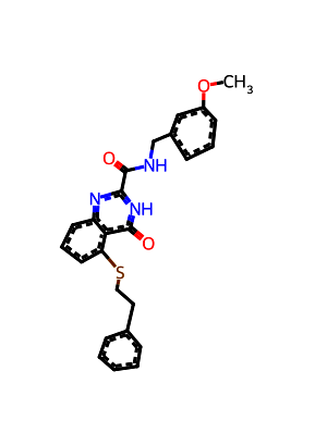 COc1cccc(CNC(=O)c2nc3cccc(SCCc4ccccc4)c3c(=O)[nH]2)c1